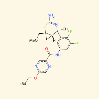 COC[C@]12C[C@H]1[C@](C)(c1cc(NC(=O)c3cnc(OCC(C)(C)C)cn3)cc(F)c1F)N=C(N)S2